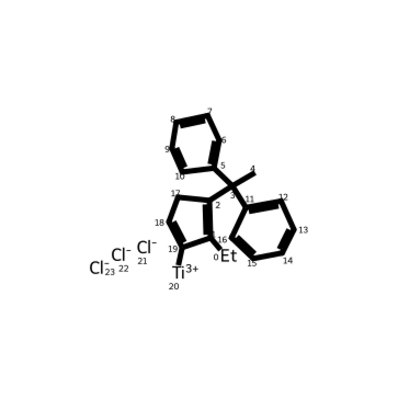 CCC1=C(C(C)(c2ccccc2)c2ccccc2)CC=[C]1[Ti+3].[Cl-].[Cl-].[Cl-]